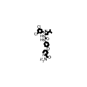 CC(C)c1cc(NC(=O)Nc2ccc(Oc3ccnc(C(N)=O)c3)cc2)n(-c2cc(Cl)cc(Cl)c2)n1